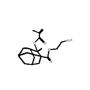 C=C(C)C(=O)OC1(C)C2CC3CC(C2)CC1(C(=O)OCCS(=O)(=O)O)C3